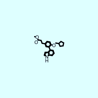 COC(=O)CCc1ccc(OCC2CCCC2)c(-c2cccc3[nH]ccc23)c1